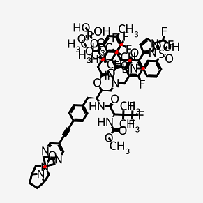 COC(=O)N[C@H](C(=O)N[C@@H](Cc1ccc(C#Cc2cnc(N3CC4CCC(C3)N4C3COC3)nc2)cc1)[C@H](CN(Cc1c(F)cc(-c2ccn(C(F)F)n2)cc1F)NC(=O)[C@@H](NC(=O)OC)C(C)(C)C(F)(F)F)OC(=O)CC(C)(C)c1c(CC(=O)Nc2cccc(S(=O)(=O)O)c2)cc(C)cc1OP(=O)(O)O)C(C)(C)C(F)(F)F